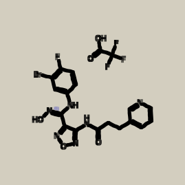 O=C(CCc1cccnc1)Nc1nonc1/C(=N\O)Nc1ccc(F)c(Br)c1.O=C(O)C(F)(F)F